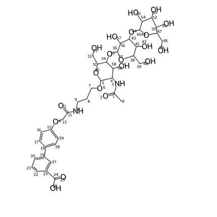 CC(=O)NC1C(OCCCNC(=O)COc2ccc(-c3cccc(C(=O)O)c3)cc2)OC(CO)C(OC2OC(CO)C(O)C(OC3OC(CO)C(O)C(O)C3O)C2O)C1O